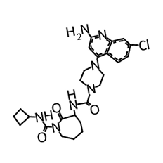 Nc1cc(N2CCN(C(=O)NC3CCCCN(C(=O)NC4CCC4)C3=O)CC2)c2ccc(Cl)cc2n1